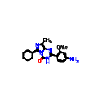 COc1cc(N)ccc1-c1nc2c(C)nc(C3CCCCC3)n2c(=O)[nH]1